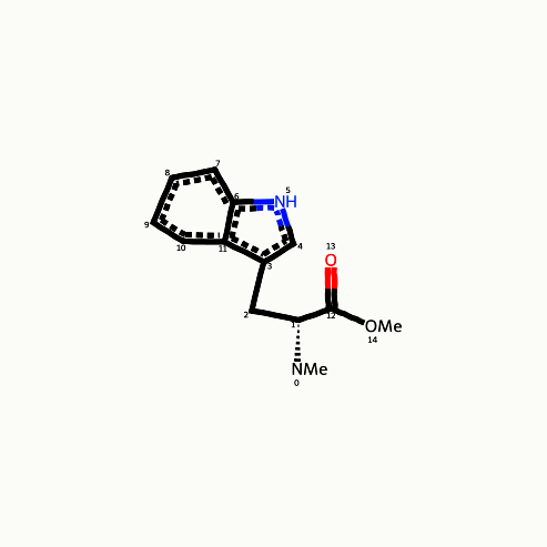 CN[C@H](Cc1c[nH]c2ccccc12)C(=O)OC